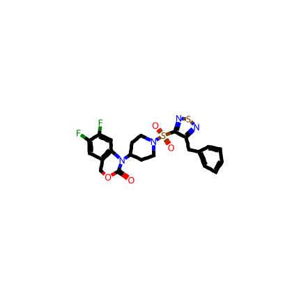 O=C1OCc2cc(F)c(F)cc2N1C1CCN(S(=O)(=O)c2nsnc2Cc2ccccc2)CC1